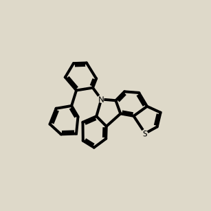 c1ccc(-c2ccccc2-n2c3ccccc3c3c4sccc4ccc32)cc1